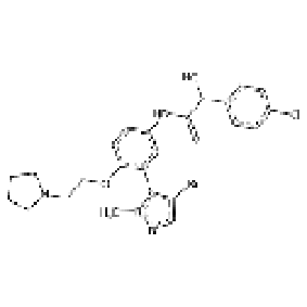 Cn1ncc(Br)c1-c1cc(NC(=O)C(O)c2ccc(Cl)cc2)ccc1OCCN1CCCC1